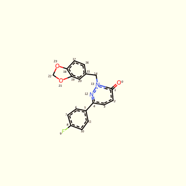 O=c1ccc(-c2ccc(F)cc2)nn1Cc1ccc2c(c1)OCO2